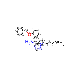 BCCCCc1cc(-c2cccc(OCc3ccccc3)c2)c2c(N)ncnn12